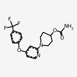 NC(=O)OC1CCN(c2cc(Oc3ccc(C(F)(F)F)cc3)ccn2)CC1